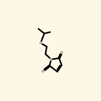 CC(C)OCCN1C(=O)C=CC1=O